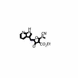 CCOC(=O)C1=C(N(C)C#N)O/C(=C\c2c[nH]c3ncccc23)C1=O